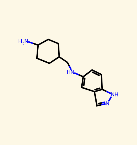 NC1CCC(CNc2ccc3[nH]ncc3c2)CC1